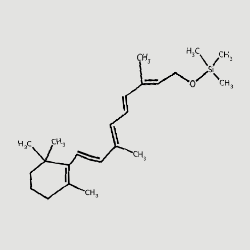 CC(C=CC1=C(C)CCCC1(C)C)=CC=CC(C)=CCO[Si](C)(C)C